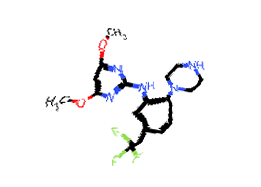 COc1cc(OC)nc(Nc2cc(C(F)(F)F)ccc2N2CCNCC2)n1